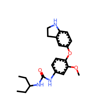 CCC(CC)NC(=O)Nc1ccc(Oc2ccc3c(c2)CCN3)c(OC)c1